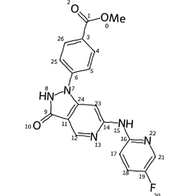 COC(=O)c1ccc(-n2[nH]c(=O)c3cnc(Nc4ccc(F)cn4)cc32)cc1